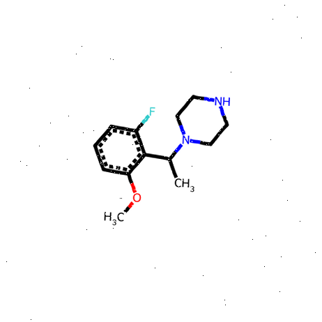 COc1cccc(F)c1C(C)N1CCNCC1